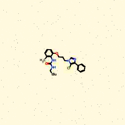 Cc1cccc(OCCCn2cnc(-c3ccccc3)c2Cl)c1NC(=O)NCC(C)(C)C